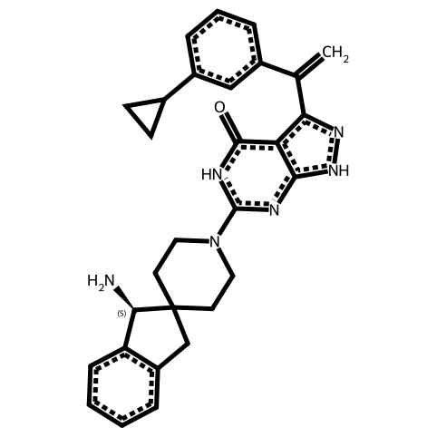 C=C(c1cccc(C2CC2)c1)c1n[nH]c2nc(N3CCC4(CC3)Cc3ccccc3[C@H]4N)[nH]c(=O)c12